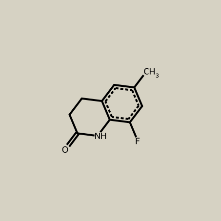 Cc1cc(F)c2c(c1)CCC(=O)N2